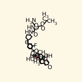 CC(C)COC(=O)CC[C@H](NC(=O)CN)C(=O)NC1CCC(Oc2ccc([C@@H]3O[C@@H]4C[C@H]5[C@@H]6CCC7=CC(=O)C=C[C@]7(C)[C@H]6[C@@H](O)C[C@]5(C)[C@]4(C(=O)CO)O3)c(F)c2)CC1